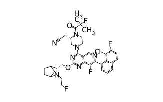 CC(C)(F)C(=O)N1CCN(c2nc(OC[C@H]3C4CCC(C4)N3CCF)nc3c(F)c(-c4cccc5ccc(F)c(Cl)c45)ncc23)C[C@@H]1CC#N